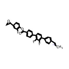 C/C=C/c1ccc(-c2ccc(-c3ccc(C(=O)Oc4ccc(C5CO5)cc4F)cc3)c(F)c2F)cc1